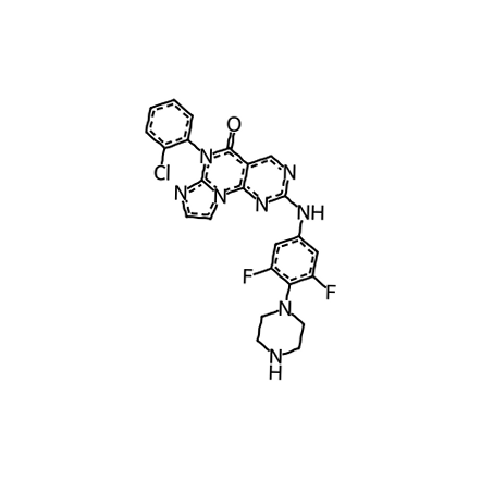 O=c1c2cnc(Nc3cc(F)c(N4CCNCC4)c(F)c3)nc2n2ccnc2n1-c1ccccc1Cl